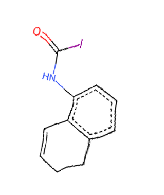 O=C(I)Nc1cccc2c1C=CCC2